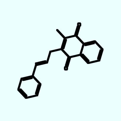 CC1=C(C/C=C/c2ccccc2)C(=O)c2ccccc2C1=O